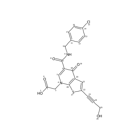 O=C(O)Cn1cc(C(=O)NCc2ccc(Cl)cc2)c(=O)c2cc(C#CCO)sc21